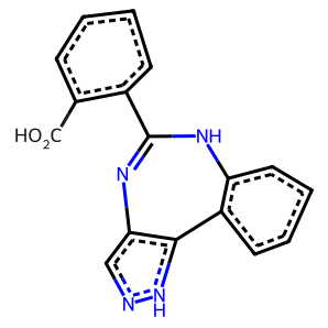 O=C(O)c1ccccc1C1=Nc2cn[nH]c2-c2ccccc2N1